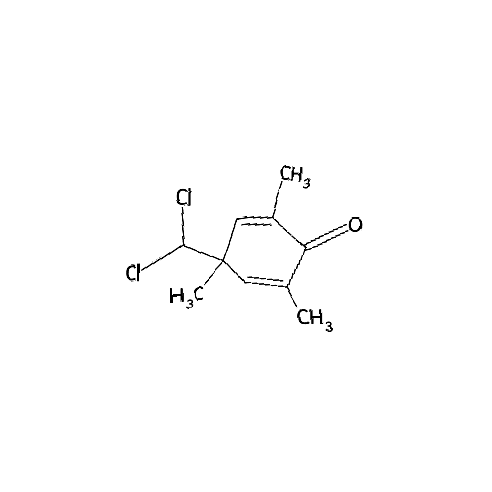 CC1=CC(C)(C(Cl)Cl)C=C(C)C1=O